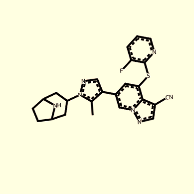 Cc1c(-c2cc(Sc3ncccc3F)c3c(C#N)cnn3c2)cnn1C1CC2CCC(C1)N2